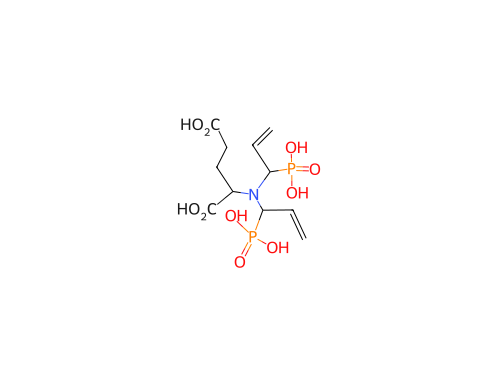 C=CC(N(C(CCC(=O)O)C(=O)O)C(C=C)P(=O)(O)O)P(=O)(O)O